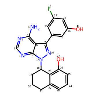 Nc1ncnc2c1c(-c1cc(O)cc(F)c1)nn2C1CCCc2cccc(O)c21